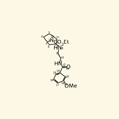 CCOC(=O)N1C2CCC1CC(NCCNC(=O)c1cccc(OC)c1)C2